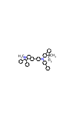 Cn1c(-c2ccccc2)c(-c2ccccc2)c2c3ccc(-c4ccc(N(c5ccc(-c6ccccc6)cc5)c5ccc6c(c5)C(C)(C)C5=CCCC=C56)cc4)cc3ccc21